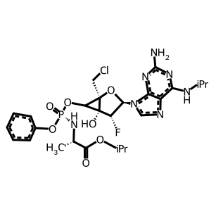 CC(C)Nc1nc(N)nc2c1ncn2[C@@H]1O[C@]2(CCl)C(O[P@@](=O)(N[C@@H](C)C(=O)OC(C)C)Oc3ccccc3)[C@]2(O)[C@H]1F